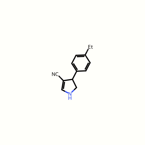 CCc1ccc(C2CNC=C2C#N)cc1